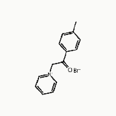 Cc1ccc(C(=O)C[n+]2ccccc2)cc1.[Br-]